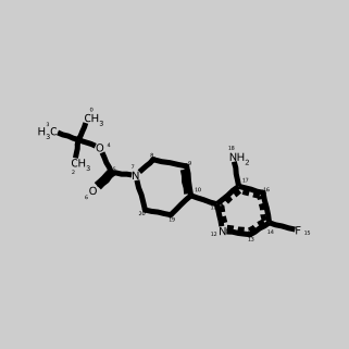 CC(C)(C)OC(=O)N1CC=C(c2ncc(F)cc2N)CC1